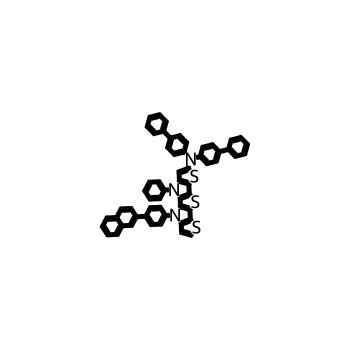 c1ccc(-c2ccc(N(c3ccc(-c4ccccc4)cc3)c3cc4c(s3)c3sc5c6sccc6n(-c6ccc(-c7ccc8ccccc8c7)cc6)c5c3n4-c3ccccc3)cc2)cc1